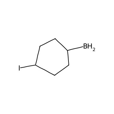 BC1CCC(I)CC1